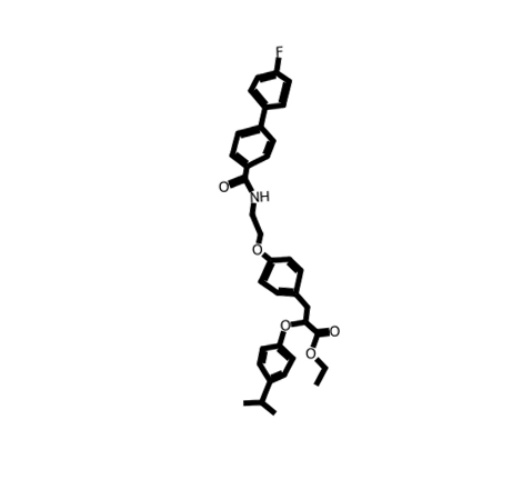 CCOC(=O)C(Cc1ccc(OCCNC(=O)c2ccc(-c3ccc(F)cc3)cc2)cc1)Oc1ccc(C(C)C)cc1